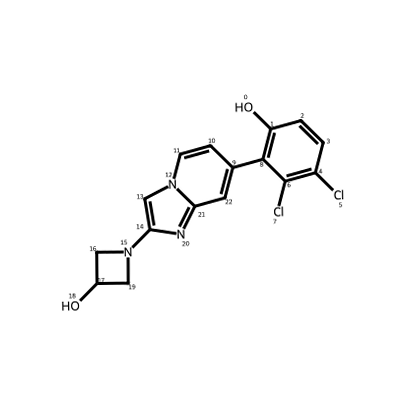 Oc1ccc(Cl)c(Cl)c1-c1ccn2cc(N3CC(O)C3)nc2c1